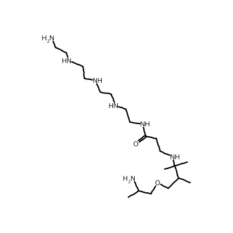 CC(N)COCC(C)C(C)(C)NCCC(=O)NCCNCCNCCNCCN